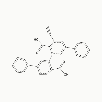 C#Cc1cc(-c2ccccc2)cc(-c2cc(-c3ccccc3)ccc2C(=O)O)c1C(=O)O